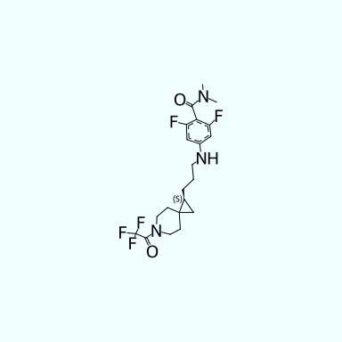 CN(C)C(=O)c1c(F)cc(NCCC[C@H]2CC23CCN(C(=O)C(F)(F)F)CC3)cc1F